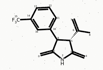 C=C1NC(=C)[C@@H](C(=C)C)C1c1cccc(C(F)(F)F)c1